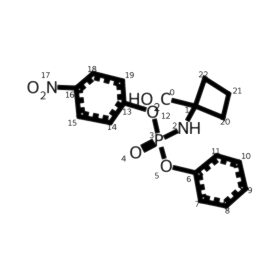 O=C(O)C1(NP(=O)(Oc2ccccc2)Oc2ccc([N+](=O)[O-])cc2)CCC1